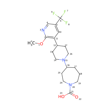 COc1ncc(C(F)(F)F)cc1C1CCN(C2CCCN(C(=O)O)CC2)CC1